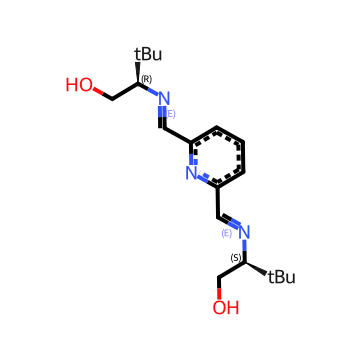 CC(C)(C)[C@H](CO)/N=C/c1cccc(/C=N/[C@H](CO)C(C)(C)C)n1